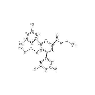 CCOC(=O)c1cc(-c2cc(Cl)cc(Cl)c2)c(OCCO)c(-c2cc(Cl)cc(Cl)c2)c1